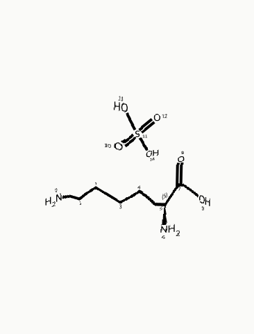 NCCCC[C@H](N)C(=O)O.O=S(=O)(O)O